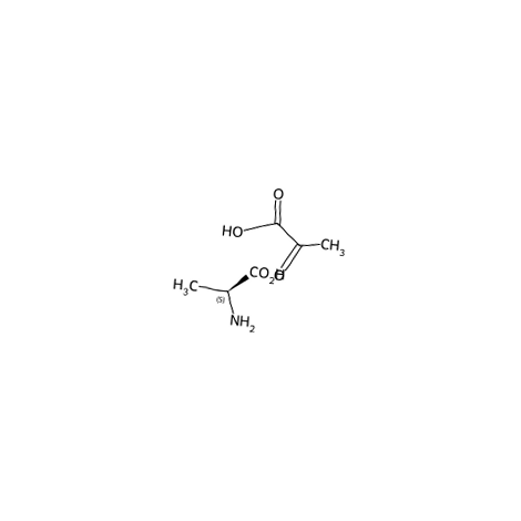 CC(=O)C(=O)O.C[C@H](N)C(=O)O